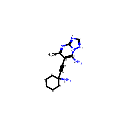 Cc1nc2ncnn2c(N)c1C#CC1(N)CCCCC1